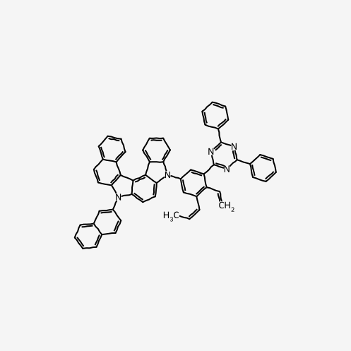 C=Cc1c(/C=C\C)cc(-n2c3ccccc3c3c4c5c6ccccc6ccc5n(-c5ccc6ccccc6c5)c4ccc32)cc1-c1nc(-c2ccccc2)nc(-c2ccccc2)n1